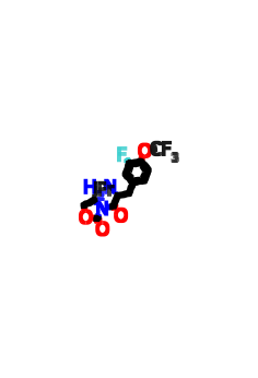 CC(C)[C@@H]1COC(=O)N1C(=O)[C@H](N)Cc1ccc(OC(F)(F)F)c(F)c1